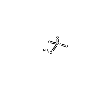 N.[O]=[Mo](=[O])(=[O])=[O]